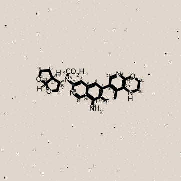 Cc1c(-c2cc3cc(N(C(=O)O)[C@@H]4CO[C@H]5OCC[C@H]54)ncc3c(N)c2F)cnc2c1NCCO2